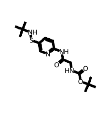 CC(C)(C)NSc1ccc(NC(=O)CNC(=O)OC(C)(C)C)nc1